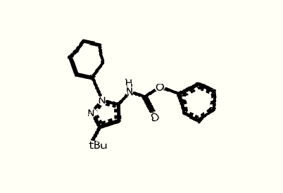 CC(C)(C)c1cc(NC(=O)Oc2ccccc2)n(C2CCCCC2)n1